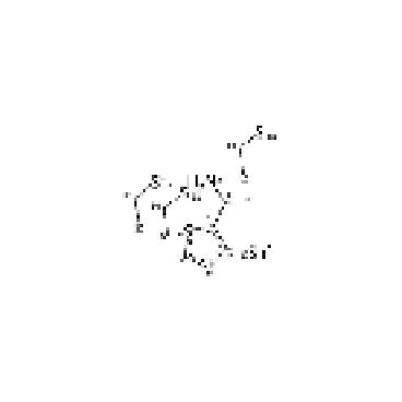 CC(N)c1scc[c]1[Sn+3].CC[S-].CC[S-].CC[S-]